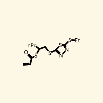 C=CC(=O)SC(CCC)CSc1nnc(SCC)s1